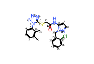 Cc1cccc(-n2nnnc2SCC(=O)Nc2ccnn2Cc2ccccc2Cl)c1C